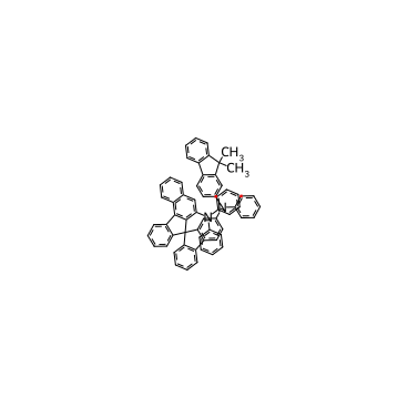 CC1(C)c2ccccc2-c2ccc(N(c3ccccc3)c3ccc4c(c3)C3(c5ccccc5-4)c4ccccc4-c4c3c(N(c3ccccc3)c3ccccc3)cc3ccccc43)cc21